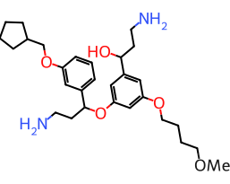 COCCCCOc1cc(OC(CCN)c2cccc(OCC3CCCC3)c2)cc(C(O)CCN)c1